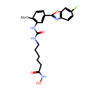 COc1ccc(-c2nc3ccc(F)cc3o2)cc1NC(=O)NCCCCCC(=O)NO